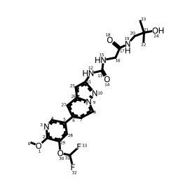 COc1ncc(-c2ccn3nc(NC(=O)NCC(=O)NCC(C)(C)O)cc3c2)cc1OC(F)F